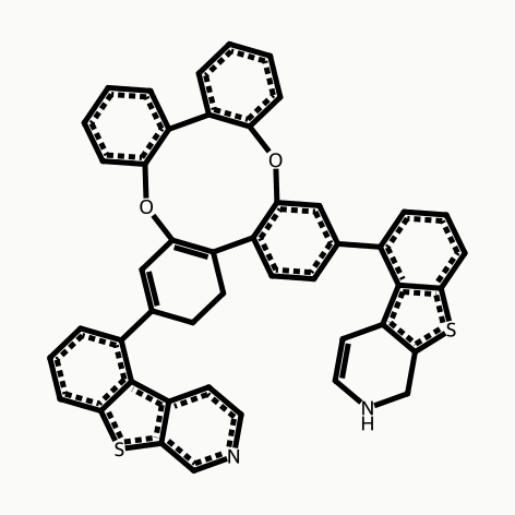 C1=Cc2c(sc3cccc(-c4ccc5c(c4)Oc4ccccc4-c4ccccc4OC4=C5CCC(c5cccc6sc7cnccc7c56)=C4)c23)CN1